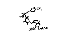 COc1cc2nccc(Oc3ccc(NC(=O)OCc4ccc(C(F)(F)F)cc4)c(C)c3C)c2cc1OC